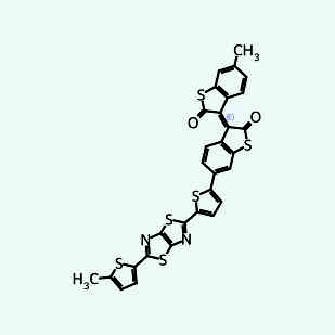 Cc1ccc2c(c1)SC(=O)/C2=C1/C(=O)Sc2cc(-c3ccc(-c4nc5sc(-c6ccc(C)s6)nc5s4)s3)ccc21